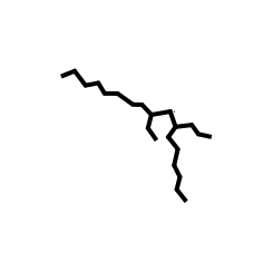 CCCCCCCCC([CH]C(CCC)CCCCCC)CC